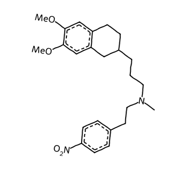 COc1cc2c(cc1OC)CC(CCCN(C)CCc1ccc([N+](=O)[O-])cc1)CC2